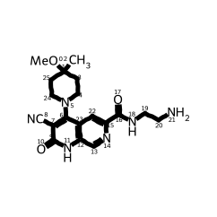 COC1(C)CCN(c2c(C#N)c(=O)[nH]c3cnc(C(=O)NCCN)cc23)CC1